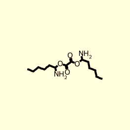 CCCCCC(N)OC(=O)C(=O)OC(N)CCCCC